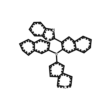 c1ccc2cc(N(c3ccc4ccccc4c3)c3cc4ccccc4cc3-c3nc4ccccc4o3)ccc2c1